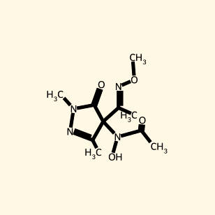 CON=C(C)C1(N(O)C(C)=O)C(=O)N(C)N=C1C